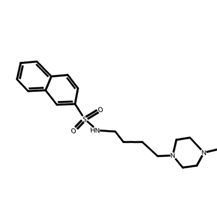 CN1CCN(CCCCNS(=O)(=O)c2ccc3ccccc3c2)CC1